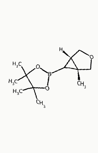 CC1(C)OB(C2[C@@H]3COC[C@]23C)OC1(C)C